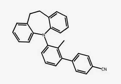 Cc1c(-c2ccc(C#N)cc2)cccc1N1c2ccccc2CCc2ccccc21